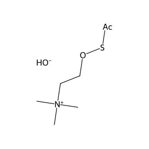 CC(=O)SOCC[N+](C)(C)C.[OH-]